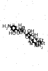 CC[N+](CC)(CC)N1C=Nc2c(ncn2[C@@H]2O[C@H](COS(=O)(=O)NC(=O)c3ccc(N)cc3O)C(O)C2O)C1N